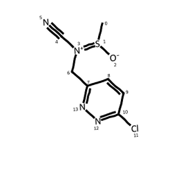 CS([O-])=[N+](C#N)Cc1ccc(Cl)nn1